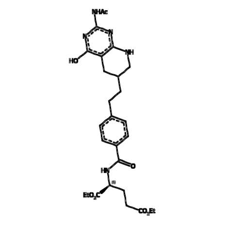 CCOC(=O)CC[C@H](NC(=O)c1ccc(CCC2CNc3nc(NC(C)=O)nc(O)c3C2)cc1)C(=O)OCC